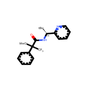 COC(C(=O)N[C@@H](c1ccccn1)C(C)(C)C)(c1ccccc1)C(F)(F)F